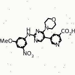 COc1cc(Nc2ncc(-c3cncc(C(=O)O)c3)c(N3CCOCC3)n2)cc([N+](=O)[O-])c1